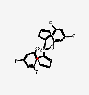 Fc1cc(F)cc([O][Zr]([O]c2cc(F)cc(F)c2)([C]2=CC=CC2)[C]2=CC=CC2)c1